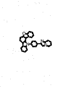 c1ccc2c(c1)oc1ccc3c4ccccc4n(-c4ccc(-c5cn6ccccc6n5)cc4)c3c12